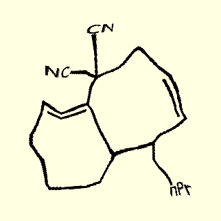 CCCC1C=CCC(C#N)(C#N)C2=CCCCC21